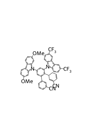 COc1ccc2c3ccc(OC)cc3n(-c3cc(-c4cccc(C#N)c4)c(C4C=C(C#N)C=CC4)c(-n4c5ccc(C(F)(F)F)cc5c5cc(C(F)(F)F)ccc54)c3)c2c1